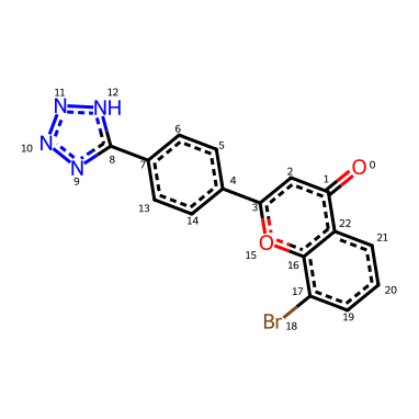 O=c1cc(-c2ccc(-c3nnn[nH]3)cc2)oc2c(Br)cccc12